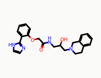 O=C(COc1ccccc1-c1ncc[nH]1)NCC(O)CN1CCc2ccccc2C1